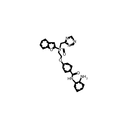 Nc1ccccc1NC(=O)c1ccc(OCC[N+](C=O)(Cc2ncncn2)c2cc3ccccc3o2)cc1